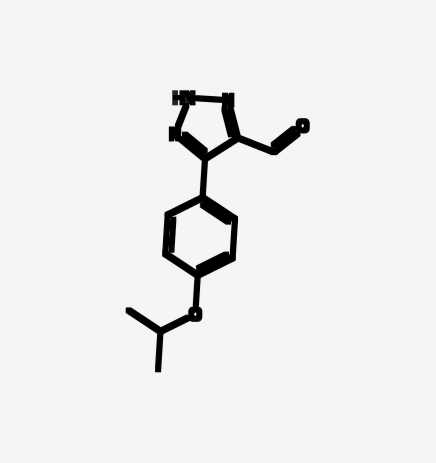 CC(C)Oc1ccc(-c2n[nH]nc2C=O)cc1